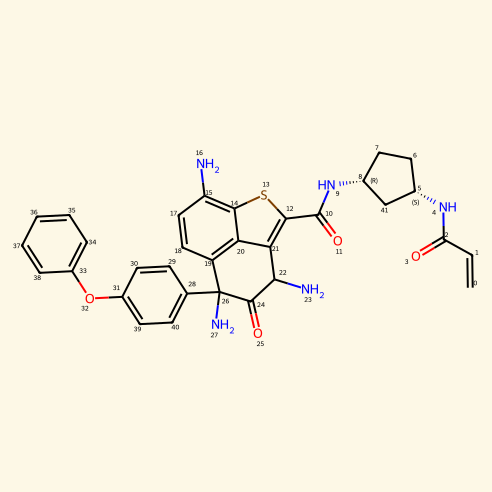 C=CC(=O)N[C@H]1CC[C@@H](NC(=O)c2sc3c(N)ccc4c3c2C(N)C(=O)C4(N)c2ccc(Oc3ccccc3)cc2)C1